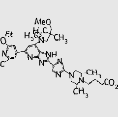 CCOc1cc(-c2cc(N(C)CC(C)(C)COC)c3[nH]c(-c4cnc(N5C[C@@H](C)N(CCCC(=O)O)[C@@H](C)C5)cn4)nc3n2)cc(C(F)(F)F)n1